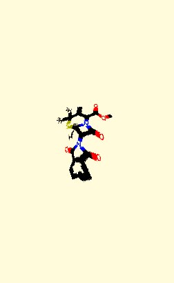 [2H]C1([2H])S[C@@H]2C(N3C(=O)c4ccccc4C3=O)C(=O)N2C(C(=O)OC)C1=C